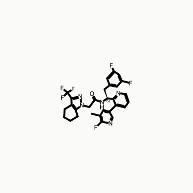 Cc1cc(-c2cccnc2[C@H](Cc2cc(F)cc(F)c2)NC(=O)Cn2nc(C(F)(F)F)c3c2CCCC3)cnc1F